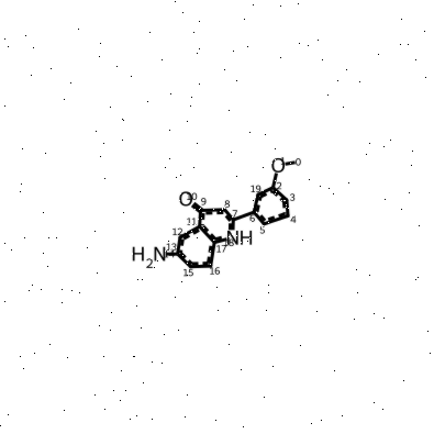 COc1cccc(-c2cc(=O)c3cc(N)ccc3[nH]2)c1